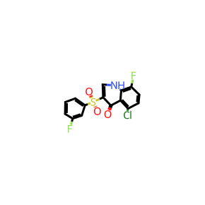 O=c1c(S(=O)(=O)c2cccc(F)c2)c[nH]c2c(F)ccc(Cl)c12